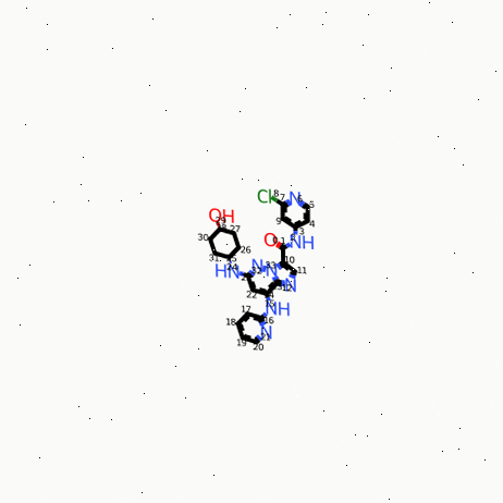 O=C(Nc1ccnc(Cl)c1)c1cnc2c(Nc3ccccn3)cc(N[C@H]3CC[C@H](O)CC3)nn12